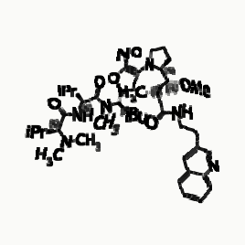 CC[C@H](C)C([C@H]1CC(N2CCC[C@H]2[C@H](OC)[C@@H](C)C(=O)NCCc2cnc3ccccc3c2)=C(N=O)O1)N(C)C(=O)[C@@H](NC(=O)[C@H](C(C)C)N(C)C)C(C)C